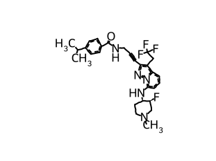 CC(C)c1ccc(C(=O)NCC#Cc2nn3c(N[C@@H]4CCN(C)C[C@@H]4F)cccc3c2CC(F)(F)F)cc1